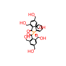 O=C(c1c(CO)cc(CO)cc1CO)P(=O)(C(=O)c1c(CO)cc(CO)cc1CO)c1ccccc1